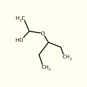 [CH2]C(O)OC(CC)CC